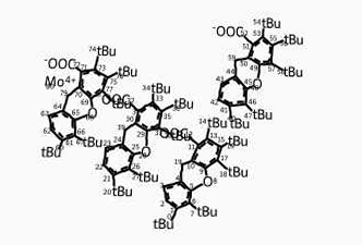 CC(C)(C)c1ccc2c(c1C(C)(C)C)Oc1c(c(C(=O)[O-])c(C(C)(C)C)c(C(C)(C)C)c1C(C)(C)C)C2.CC(C)(C)c1ccc2c(c1C(C)(C)C)Oc1c(c(C(=O)[O-])c(C(C)(C)C)c(C(C)(C)C)c1C(C)(C)C)C2.CC(C)(C)c1ccc2c(c1C(C)(C)C)Oc1c(c(C(=O)[O-])c(C(C)(C)C)c(C(C)(C)C)c1C(C)(C)C)C2.CC(C)(C)c1ccc2c(c1C(C)(C)C)Oc1c(c(C(=O)[O-])c(C(C)(C)C)c(C(C)(C)C)c1C(C)(C)C)C2.[Mo+4]